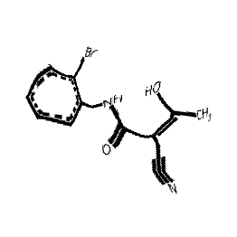 CC(O)=C(C#N)C(=O)Nc1ccccc1Br